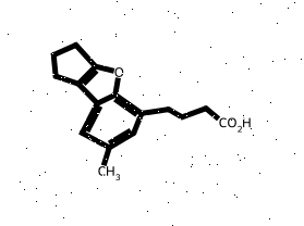 Cc1cc(CCCC(=O)O)c2oc3c(c2c1)CCC3